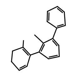 CC1=C(c2cccc(-c3ccccc3)c2C)C=CCC1